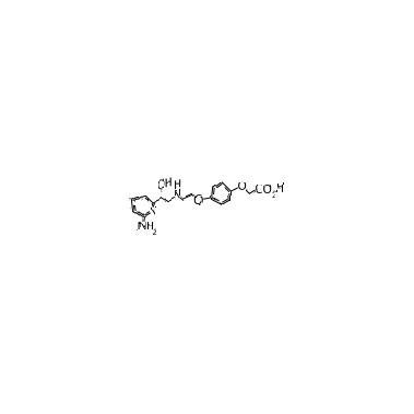 Nc1cccc([C@H](O)CNCCOc2ccc(OCC(=O)O)cc2)n1